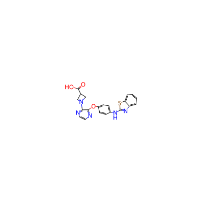 O=C(O)C1CN(c2nccnc2Oc2ccc(Nc3nc4ccccc4s3)cc2)C1